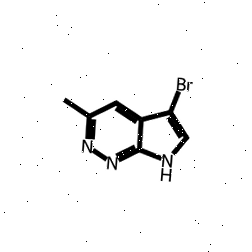 Cc1cc2c(Br)c[nH]c2nn1